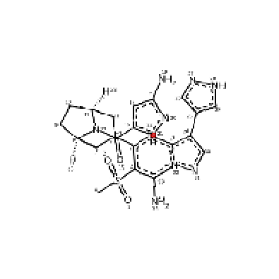 CS(=O)(=O)c1c(C2C[C@H]3CC[C@@H](C2)N3C(=O)c2cc(N)n[nH]2)nc2c(-c3cn[nH]c3)cnn2c1N